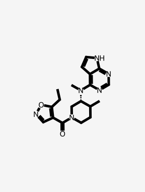 CCc1oncc1C(=O)N1CCC(C)[C@@H](N(C)c2ncnc3[nH]ccc23)C1